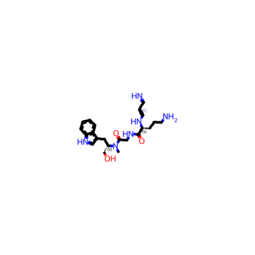 CN(C(=O)CNC(=O)[C@H](CCCN)N/C=C/C=N)[C@H](CO)Cc1c[nH]c2ccccc12